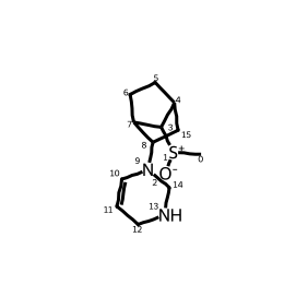 C[S+]([O-])C1C2CCC1C(N1C=CCNC1)C2